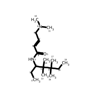 CCC(NC(=O)/C=C/CN(C)C)C(C)(C)C(C)(C)CC